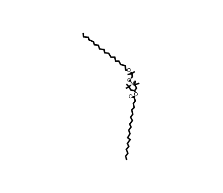 CCCCCCCCCCCCCCCCCCCC(=O)OC1CC(C)(C)N(OCC(C)(C)OCCCCCCCCCCCCCCCCCC)C(C)(C)C1